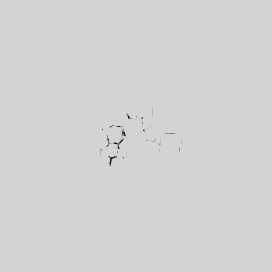 CN(C(=O)c1cnc2[nH]c(=O)[nH]c2c1)C(C)(C)CN1CCCCCC1